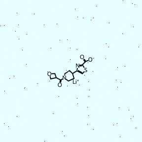 O=C([O-])c1nc(C2CCN(C(=O)C3COC3)CC2)cs1.[Li+]